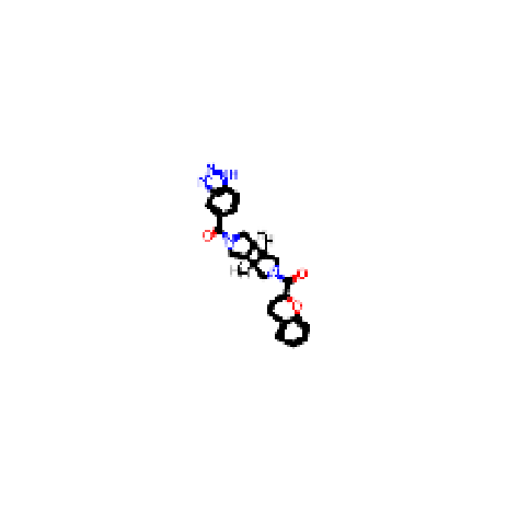 O=C(c1ccc2[nH]nnc2c1)N1C[C@@H]2[C@H](C1)[C@H]1CN(C(=O)C3CCc4ccccc4O3)C[C@@H]21